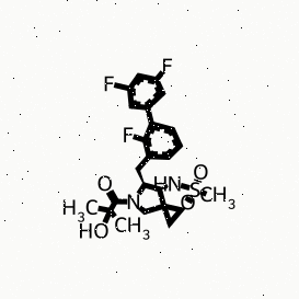 CC(C)(O)C(=O)N1CC2(CC2)[C@H](NS(C)(=O)=O)[C@@H]1Cc1cccc(-c2cc(F)cc(F)c2)c1F